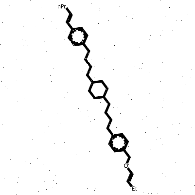 CCC=COCc1ccc(CCCCC2CCC(CCCCc3ccc(C=CCCC)cc3)CC2)cc1